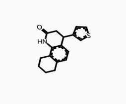 O=C1CC(c2ccsc2)c2ccc3c(c2N1)CCCC3